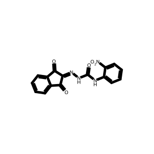 O=C(NN=c1c(=O)c2ccccc2c1=O)Nc1ccccc1[N+](=O)[O-]